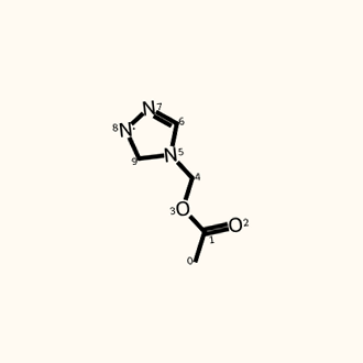 CC(=O)OCN1C=N[N]C1